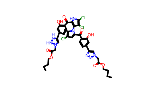 CCCCOC(=O)CN1C=C(c2ccc(C(=O)c3[nH]c(Cl)c(Cl)c3-n3c(C(=O)c4ccc(-c5cn(CC(=O)OCCCC)nn5)cc4O)cc(Cl)c3C)c(O)c2)NN1